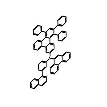 c1ccc(-c2cc(-c3ccccc3)c3c4ccccc4c4cc(N(c5cccc(-c6cccc7ccccc67)c5)c5cc6ccccc6c6ccccc56)ccc4c3c2-c2ccccc2)cc1